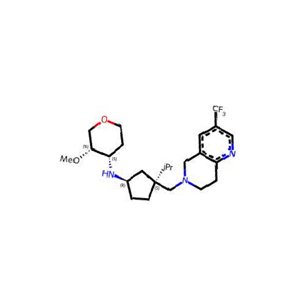 CO[C@@H]1COCC[C@@H]1N[C@@H]1CC[C@@](CN2CCc3ncc(C(F)(F)F)cc3C2)(C(C)C)C1